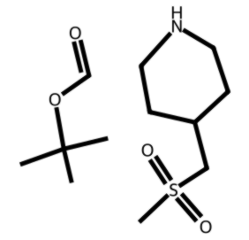 CC(C)(C)OC=O.CS(=O)(=O)CC1CCNCC1